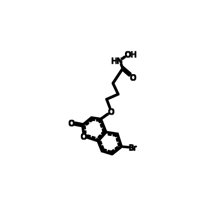 O=C(CCCOc1cc(=O)oc2ccc(Br)cc12)NO